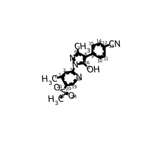 Cc1cc(-n2nc(C)c(-c3ccc(C#N)cc3)c2O)ncc1S(C)(=O)=O